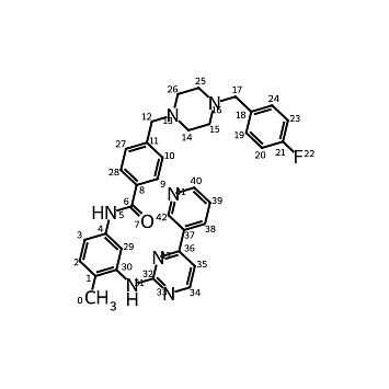 Cc1ccc(NC(=O)c2ccc(CN3CCN(Cc4ccc(F)cc4)CC3)cc2)cc1Nc1nccc(-c2cccnc2)n1